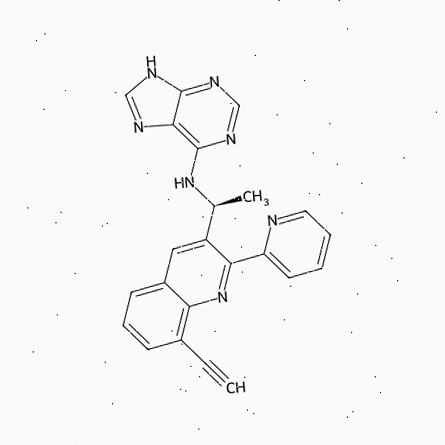 C#Cc1cccc2cc([C@H](C)Nc3ncnc4[nH]cnc34)c(-c3ccccn3)nc12